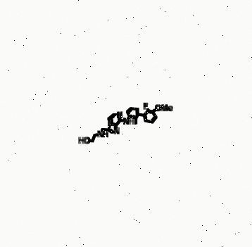 COc1cccc(-c2cccc(Nc3nccn4c(CNCCO)cnc34)c2C)c1F